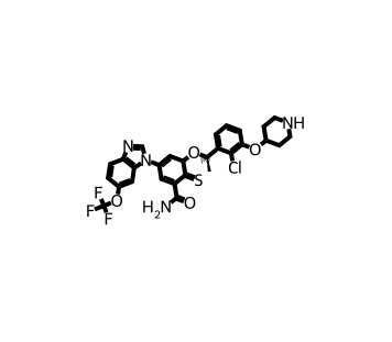 C[C@@H](OC1C=C(n2cnc3ccc(OC(F)(F)F)cc32)C=C(C(N)=O)C1=S)c1cccc(OC2CCNCC2)c1Cl